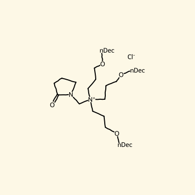 CCCCCCCCCCOCCC[N+](CCCOCCCCCCCCCC)(CCCOCCCCCCCCCC)CN1CCCC1=O.[Cl-]